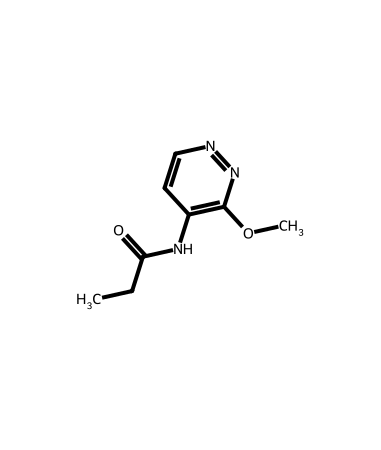 CCC(=O)Nc1ccnnc1OC